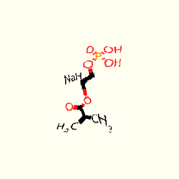 C=C(C)C(=O)OCCOP(=O)(O)O.[NaH]